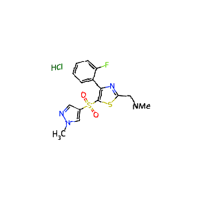 CNCc1nc(-c2ccccc2F)c(S(=O)(=O)c2cnn(C)c2)s1.Cl